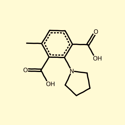 Cc1ccc(C(=O)O)c(N2CCCC2)c1C(=O)O